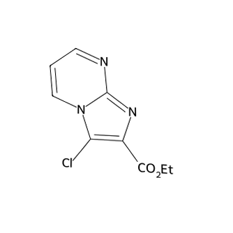 CCOC(=O)c1nc2ncccn2c1Cl